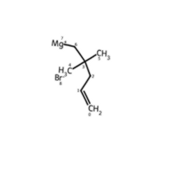 C=CCC(C)(C)[CH2][Mg+].[Br-]